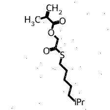 C=C(C)C(=O)OCC(=O)SCCCCCC(C)C